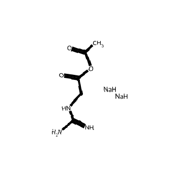 CC(=O)OC(=O)CNC(=N)N.[NaH].[NaH]